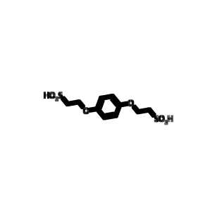 O=S(=O)(O)CCOc1ccc(OCCS(=O)(=O)O)cc1